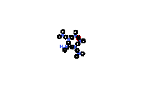 CC1C=C(N(c2ccccc2)c2ccccc2)C=CC1N(c1ccc(N(c2ccccc2)C2C=CC=CC2)cc1)c1ccc([C@@](N)(Cc2ccccc2)c2ccc(N(c3ccc(N(c4ccccc4)c4ccccc4)cc3)c3ccc(N(c4ccccc4)c4ccccc4)cc3)cc2)cc1